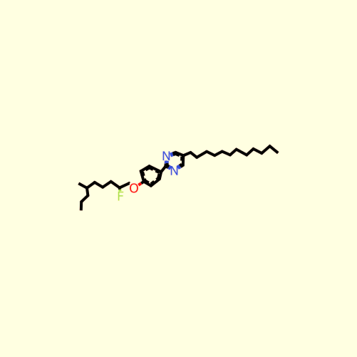 CCCCCCCCCCCCc1cnc(-c2ccc(OCC(F)CCCC(C)CCC)cc2)nc1